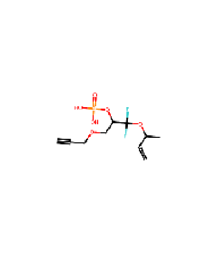 C#CCOCC(OP(=O)(O)O)C(F)(F)OC(C)C=C